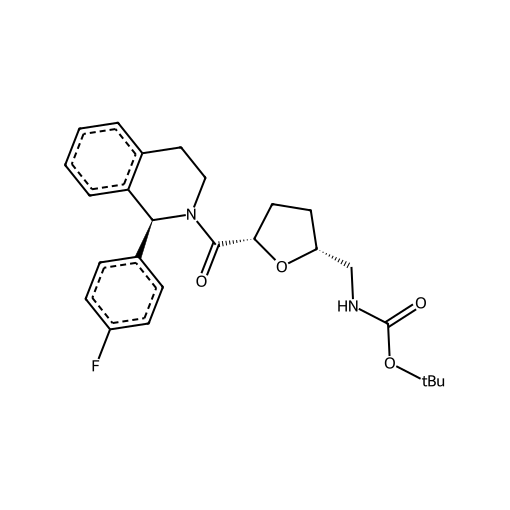 CC(C)(C)OC(=O)NC[C@H]1CC[C@@H](C(=O)N2CCc3ccccc3[C@@H]2c2ccc(F)cc2)O1